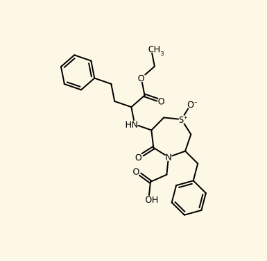 CCOC(=O)C(CCc1ccccc1)NC1C[S+]([O-])CC(Cc2ccccc2)N(CC(=O)O)C1=O